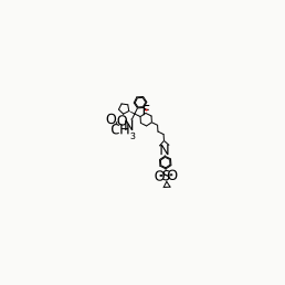 CC(=O)O[C@@H]1CCC[C@H]1C(C#N)(c1ccccc1F)C1CCC(CCCC2CN(c3ccc(S(=O)(=O)C4CC4)cc3)C2)CC1